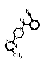 Cc1ccnc(N2CCN(C(=O)c3ccccc3C#N)CC2)n1